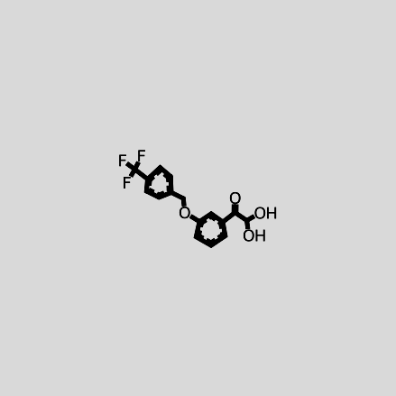 O=C(c1cccc(OCc2ccc(C(F)(F)F)cc2)c1)C(O)O